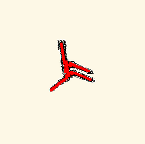 CCCCCCCCCCCCCCCCCCOc1ccc(N(c2ccc(OCCCCCCCCCCCCCCCCCC)cc2)c2ccc(Oc3ccc(N(c4ccc(OCCCCCCCCCCCCCCCCCC)cc4)c4ccc(OCCCCCCCCCCCCCCCCCC)cc4)cc3)cc2)cc1